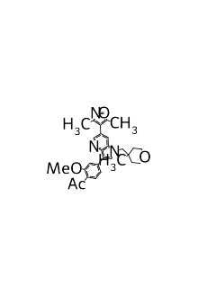 COc1cc(-c2cn(CC3(C)CCOCC3)c3cc(-c4c(C)noc4C)cnc23)ccc1C(C)=O